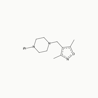 Cc1noc(C)c1CN1CCN(C(C)C)CC1